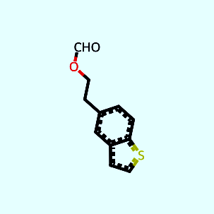 O=COCCc1ccc2sccc2c1